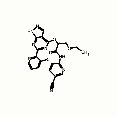 CCOC[C@H](Oc1nc(-c2ncccc2Cl)nc2[nH]ncc12)C(=O)Nc1ccc(C#N)cn1